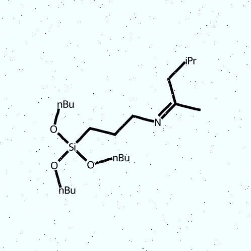 CCCCO[Si](CCCN=C(C)CC(C)C)(OCCCC)OCCCC